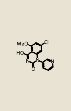 COc1cc(Cl)cc2c1c(O)nc(=O)n2-c1cccnc1